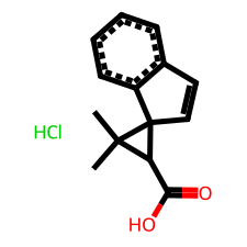 CC1(C)C(C(=O)O)C12C=Cc1ccccc12.Cl